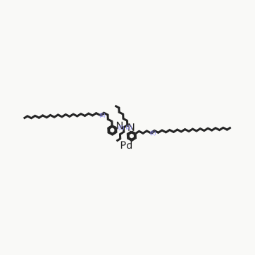 CCCCCCCCCCCCCCCCCCCC/C=C/CCCc1ccccc1/N=C(CCCCCC)\C(CCCC)=N\c1ccccc1CCC/C=C/CCCCCCCCCCCCCCCCCCCC.[Pd]